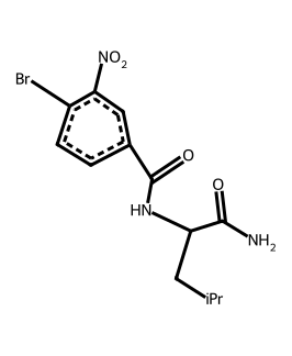 CC(C)CC(NC(=O)c1ccc(Br)c([N+](=O)[O-])c1)C(N)=O